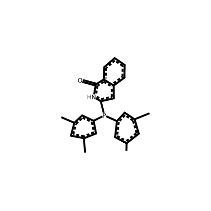 Cc1cc(C)cc(P(c2cc(C)cc(C)c2)c2cc3ccccc3c(=O)[nH]2)c1